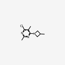 Cc1nc(Cl)c(C)c(N2CC(C)C2)n1